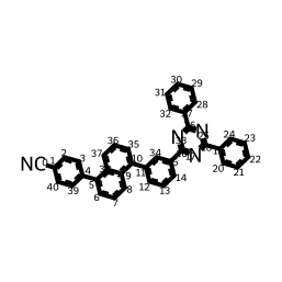 N#Cc1ccc(-c2cccc3c(-c4cccc(-c5nc(-c6ccccc6)nc(-c6ccccc6)n5)c4)cccc23)cc1